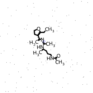 C=C(/N=C(/C)NC(C)CCCNC(C)=O)C1=C(CC)OCC1